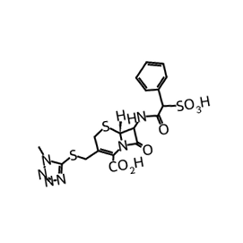 Cn1nnnc1SCC1=C(C(=O)O)N2C(=O)C(NC(=O)C(c3ccccc3)S(=O)(=O)O)[C@H]2SC1